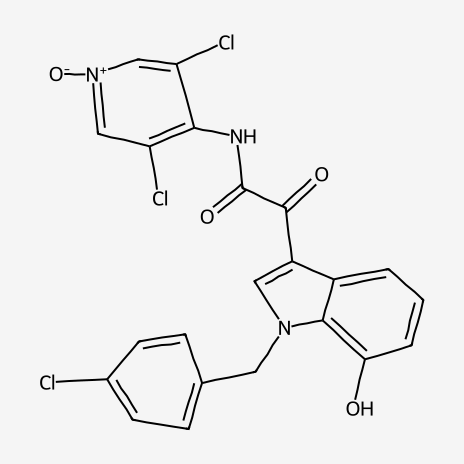 O=C(Nc1c(Cl)c[n+]([O-])cc1Cl)C(=O)c1cn(Cc2ccc(Cl)cc2)c2c(O)cccc12